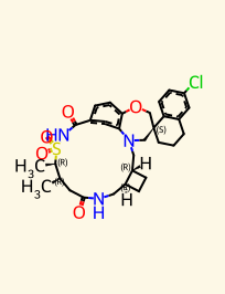 C[C@@H]1CC(=O)NC[C@@H]2CC[C@H]2CN2C[C@@]3(CCCc4cc(Cl)ccc43)COc3ccc(cc32)C(=O)NS(=O)(=O)[C@@H]1C